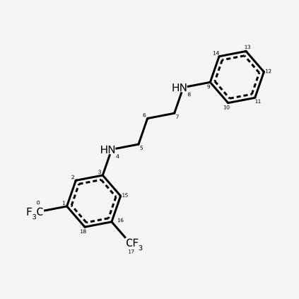 FC(F)(F)c1cc(NCCCNc2ccccc2)cc(C(F)(F)F)c1